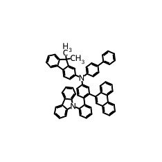 CC1(C)c2ccccc2-c2ccc(N(c3ccc(-c4ccccc4)cc3)c3ccc(-c4ccccc4-n4c5ccccc5c5ccccc54)c(-c4cc5ccccc5c5ccccc45)c3)cc21